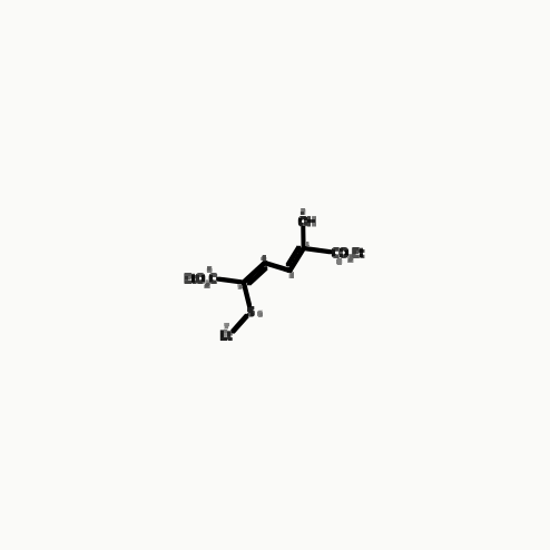 CCOC(=O)/C(O)=C/C=C(\SCC)C(=O)OCC